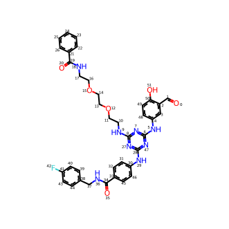 O=Cc1cc(Nc2nc(NCCOCCOCCNC(=O)c3ccccc3)nc(Nc3ccc(C(=O)NCc4ccc(F)cc4)cc3)n2)ccc1O